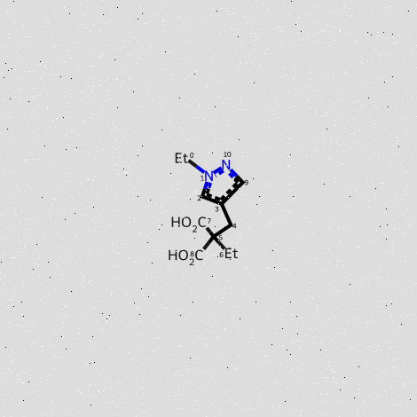 CCn1cc(CC(CC)(C(=O)O)C(=O)O)cn1